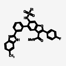 CCS(=O)(=O)Nc1cc2oc(-c3ccc(F)cc3)c(C(=O)NC)c2cc1-c1cccc(-c2nc3ccc(C)cc3[nH]2)c1